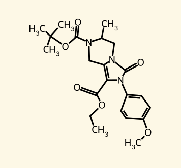 CCOC(=O)c1c2n(c(=O)n1-c1ccc(OC)cc1)CC(C)N(C(=O)OC(C)(C)C)C2